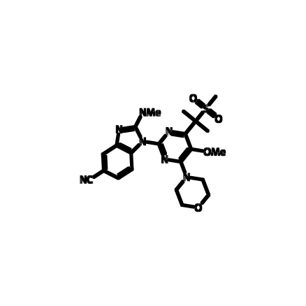 CNc1nc2cc(C#N)ccc2n1-c1nc(N2CCOCC2)c(OC)c(C(C)(C)S(C)(=O)=O)n1